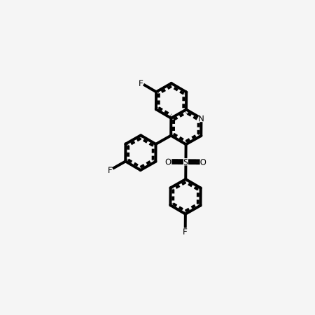 O=S(=O)(c1ccc(F)cc1)c1cnc2ccc(F)cc2c1-c1ccc(F)cc1